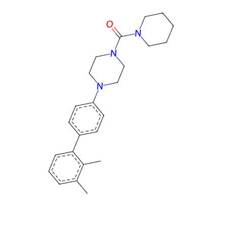 Cc1cccc(-c2ccc(N3CCN(C(=O)N4CCCCC4)CC3)cc2)c1C